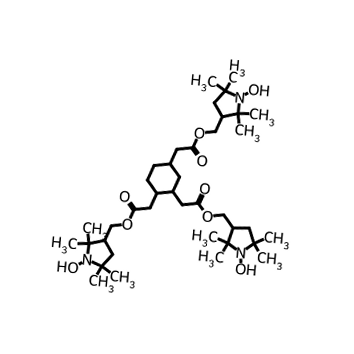 CC1(C)CC(COC(=O)CC2CCC(CC(=O)OCC3CC(C)(C)N(O)C3(C)C)C(CC(=O)OCC3CC(C)(C)N(O)C3(C)C)C2)C(C)(C)N1O